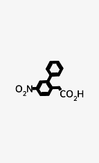 O=C(O)Cc1ccc([N+](=O)[O-])cc1-c1ccccc1